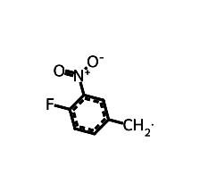 [CH2]c1ccc(F)c([N+](=O)[O-])c1